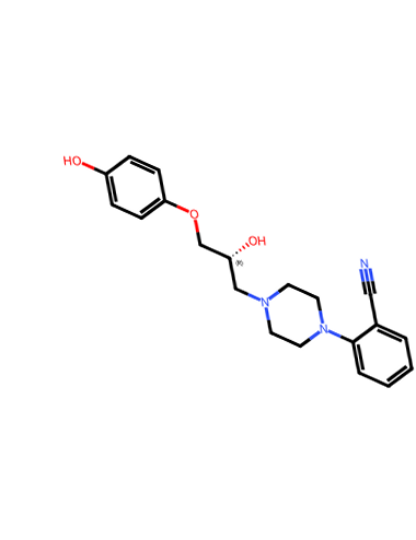 N#Cc1ccccc1N1CCN(C[C@@H](O)COc2ccc(O)cc2)CC1